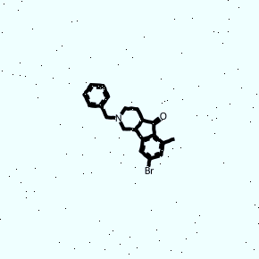 Cc1cc(Br)cc2c1C(=O)C1CCN(Cc3ccccc3)CC21